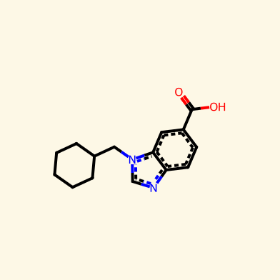 O=C(O)c1ccc2ncn(CC3CCCCC3)c2c1